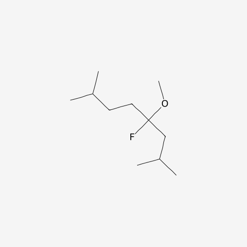 COC(F)(CCC(C)C)CC(C)C